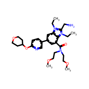 CCn1c(CN)[n+](CC)c2cc(-c3ccc(OC4CCOCC4)nc3)cc(C(=O)N(CCOC)CCOC)c21